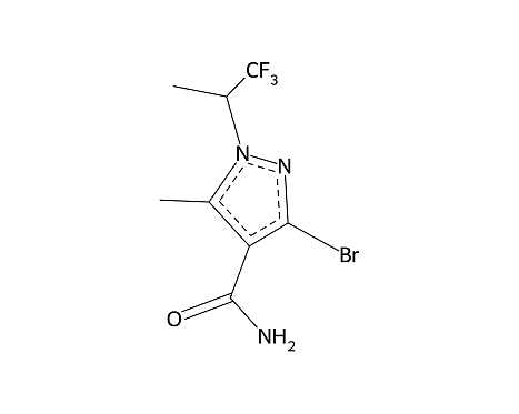 Cc1c(C(N)=O)c(Br)nn1C(C)C(F)(F)F